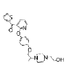 CC(COc1ccc(Oc2ncccc2C(=O)c2cccs2)cc1)N1CCN(CCO)CC1